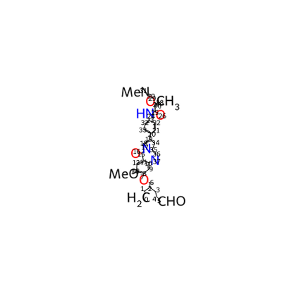 C=CC(CCC=O)COc1cc2c(cc1OC)C(=O)N1C=C(c3ccc(NC(=O)[C@@H](C)OCNC)cc3)CC1C=N2